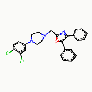 Clc1ccc(N2CCN(Cc3nc(-c4ccccc4)c(-c4ccccc4)o3)CC2)cc1Cl